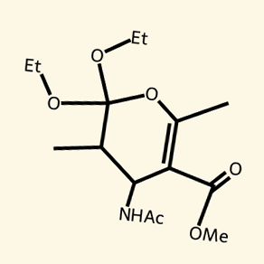 CCOC1(OCC)OC(C)=C(C(=O)OC)C(NC(C)=O)C1C